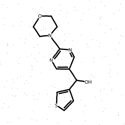 OC(c1cnc(N2CCOCC2)nc1)c1ccsc1